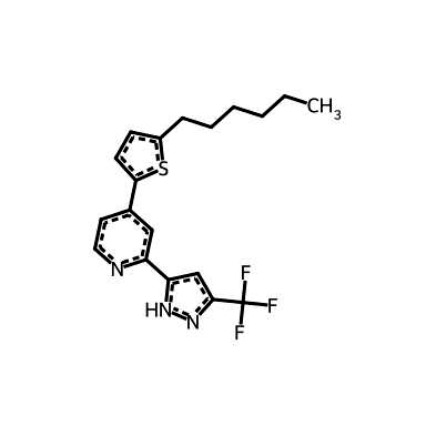 CCCCCCc1ccc(-c2ccnc(-c3cc(C(F)(F)F)n[nH]3)c2)s1